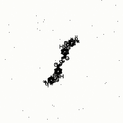 CN(C)c1ccc(S(=O)(=O)Nc2ccc(C(=O)CSSCC(=O)c3ccc(NS(=O)(=O)c4ccc(N(C)C)cc4)cc3)cc2)cc1